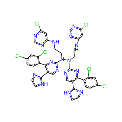 Clc1ccc(-c2nc(N(CCNc3cc(Cl)ncn3)N(CCNc3cc(Cl)ncn3)c3ncc(-c4ncc[nH]4)c(-c4ccc(Cl)cc4Cl)n3)ncc2-c2ncc[nH]2)c(Cl)c1